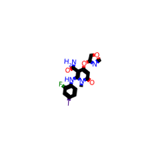 Cn1c(Nc2ccc(I)cc2F)c(C(N)=O)c(OC2COC=N2)cc1=O